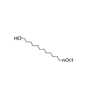 CCCCCCCCCCCCCCC[CH]CCCCO